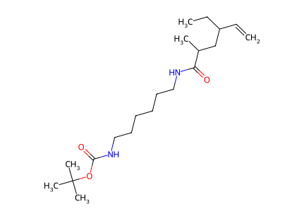 C=CC(CC)CC(C)C(=O)NCCCCCCNC(=O)OC(C)(C)C